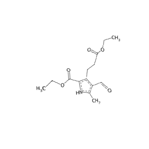 CCOC(=O)CCc1c(C(=O)OCC)[nH]c(C)c1C=O